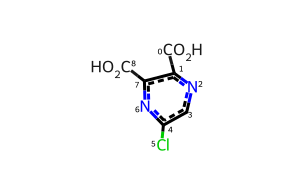 O=C(O)c1ncc(Cl)nc1C(=O)O